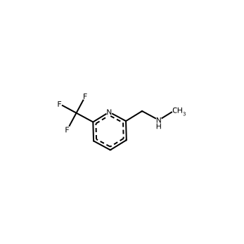 CNCc1cccc(C(F)(F)F)n1